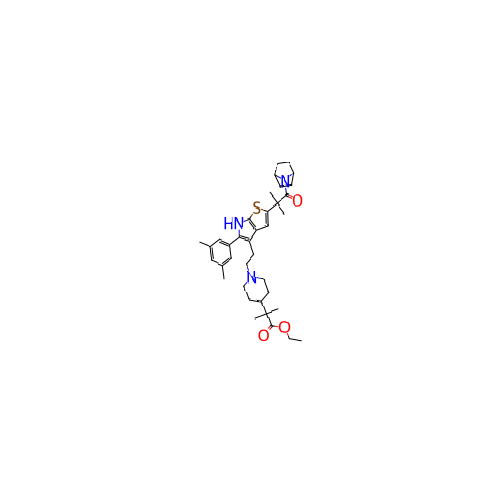 CCOC(=O)C(C)(C)C1CCN(CCc2c(-c3cc(C)cc(C)c3)[nH]c3sc(C(C)(C)C(=O)N4C5CCC4CC5)cc23)CC1